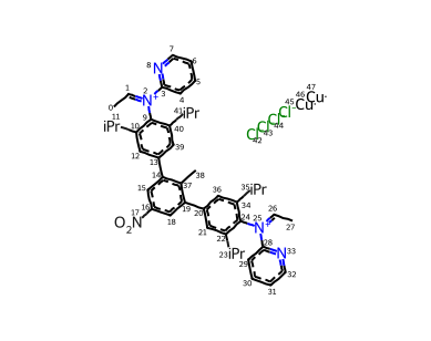 CC=[N+](c1ccccn1)c1c(C(C)C)cc(-c2cc([N+](=O)[O-])cc(-c3cc(C(C)C)c([N+](=CC)c4ccccn4)c(C(C)C)c3)c2C)cc1C(C)C.[Cl-].[Cl-].[Cl-].[Cl-].[Cu].[Cu]